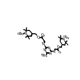 CCCCN1C(C)(C)CC(COC(=O)C=Nc2nc(N=CC(=O)OCC3CC(C)(C)N(CCCC)C(C)(C)C3)nc(C(C)(C)C)n2)CC1(C)C